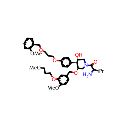 COCCCOc1cc(CO[C@H]2CN(C(=O)C(N)C(C)C)C[C@@H](O)[C@@H]2c2ccc(OCCCOCc3ccccc3OC)cc2)ccc1OC